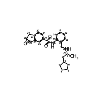 C[C@@H](CC1CCCC1)NCc1ccccc1NS(=O)(=O)c1ccc2c(c1)N1OC1C2